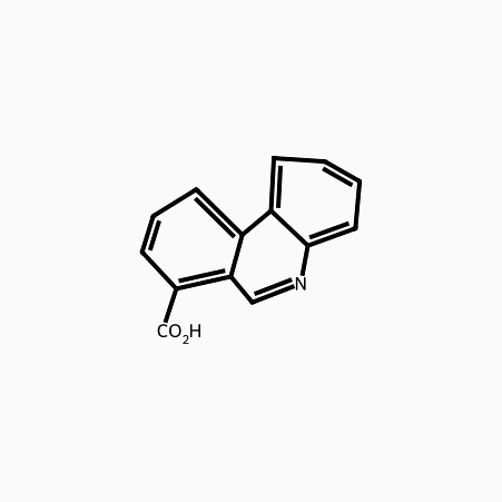 O=C(O)c1cccc2c1cnc1ccccc12